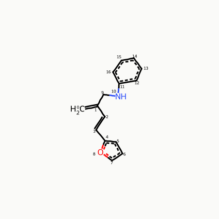 C=C(C=Cc1ccco1)CNc1ccccc1